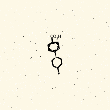 O=C(O)c1ccc(N2CCC(F)CC2)cc1